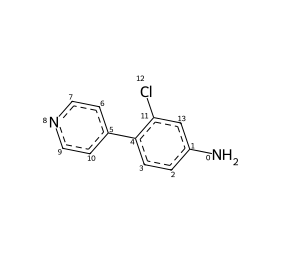 Nc1ccc(-c2ccncc2)c(Cl)c1